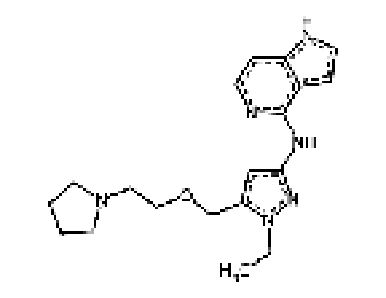 CCn1nc(Nc2nccc3[nH]ccc23)cc1COCCN1CCCC1